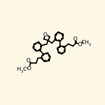 COC(=O)CCc1ccccc1-c1ccccc1CC1(Cc2ccccc2-c2ccccc2CCC(=O)OC)COC1